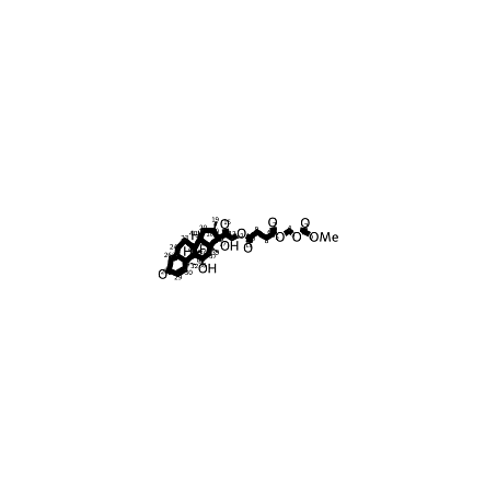 COC(=O)OCOC(=O)CCC(=O)OCC(=O)[C@@]1(O)[C@H](C)C[C@H]2[C@@H]3CCC4=CC(=O)C=C[C@]4(C)[C@@]3(F)[C@@H](O)C[C@@]21C